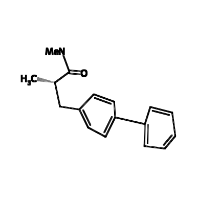 CNC(=O)[C@@H](C)Cc1ccc(-c2ccccc2)cc1